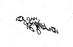 NC(=O)c1c(OCc2cccnc2)nsc1NC(=O)NCCCn1ccnc1